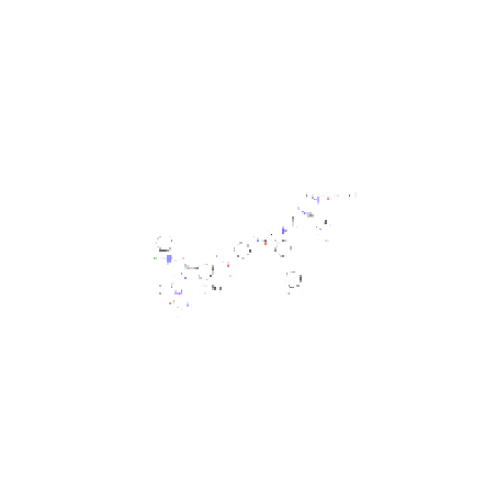 C[C@@H]1COCCN1C[C@H]1CN(C(=O)OC(C)(C)C)[C@H](C)CN1CC(=O)N1CC(C)(C(=O)Nc2ccc(C(=O)Nc3ccc4c(c3)[C@@H](C(=O)Nc3c(F)cccc3F)N(C(=O)[C@@H](NC(=O)[C@H](C)N(C)C(=O)OC(C)(C)C)C3CCOCC3)C4)cc2)c2ccc(Cc3ccc(F)cc3)cc21